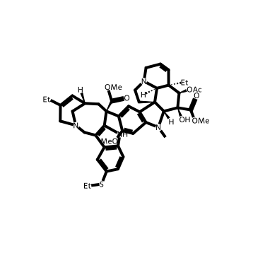 CCSc1ccc2[nH]c3c(c2c1)CN1CC(CC)=C[C@@H](C1)C[C@]3(C(=O)OC)c1cc2c(cc1OC)N(C)[C@H]1[C@@](O)(C(=O)OC)[C@H](OC(C)=O)[C@]3(CC)C=CCN4CC[C@]21[C@@H]43